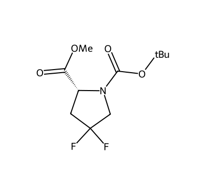 COC(=O)[C@H]1CC(F)(F)CN1C(=O)OC(C)(C)C